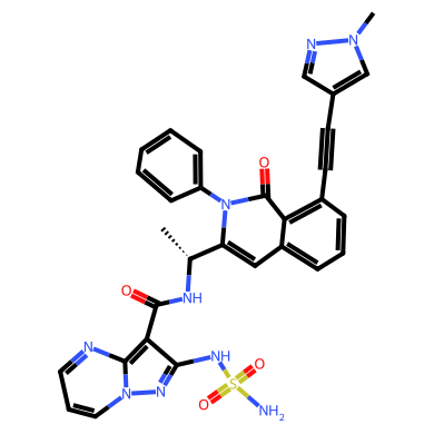 C[C@@H](NC(=O)c1c(NS(N)(=O)=O)nn2cccnc12)c1cc2cccc(C#Cc3cnn(C)c3)c2c(=O)n1-c1ccccc1